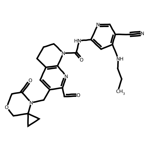 CCCNc1cc(NC(=O)N2CCCc3cc(CN4C(=O)COCC45CC5)c(C=O)nc32)ncc1C#N